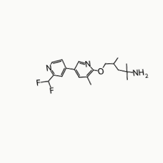 Cc1cc(-c2ccnc(C(F)F)c2)cnc1OCC(C)CC(C)(C)N